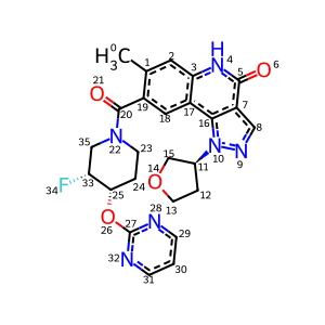 Cc1cc2[nH]c(=O)c3cnn([C@H]4CCOC4)c3c2cc1C(=O)N1CC[C@H](Oc2ncccn2)[C@H](F)C1